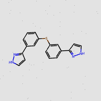 c1cc(Sc2cccc(-c3cc[nH]n3)c2)cc(-c2cc[nH]n2)c1